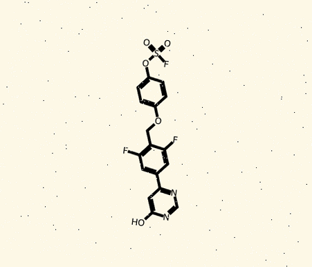 O=S(=O)(F)Oc1ccc(OCc2c(F)cc(-c3cc(O)ncn3)cc2F)cc1